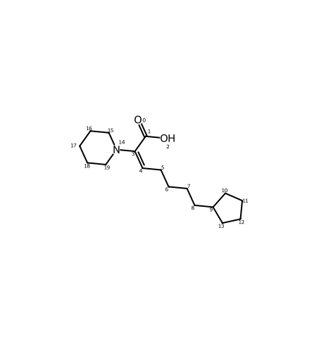 O=C(O)C(=CCCCCC1CCCC1)N1CCCCC1